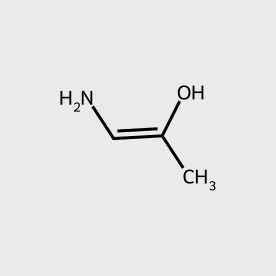 C/C(O)=C/N